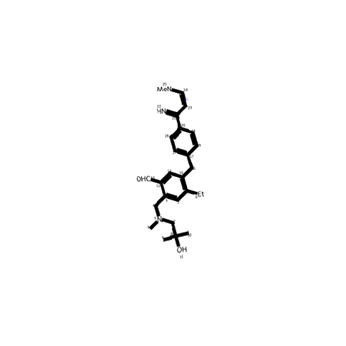 CCc1cc(CN(C)CC(C)(C)O)c(C=O)cc1Cc1ccc(C(=N)/C=C\NC)cc1